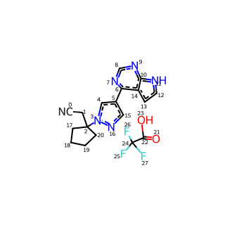 N#CCC1(n2cc(-c3ncnc4[nH]ccc34)cn2)CCCC1.O=C(O)C(F)(F)F